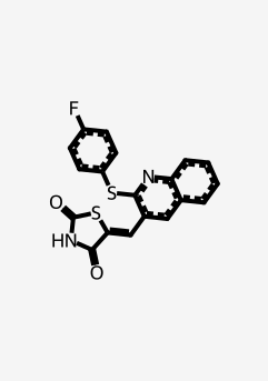 O=C1NC(=O)C(=Cc2cc3ccccc3nc2Sc2ccc(F)cc2)S1